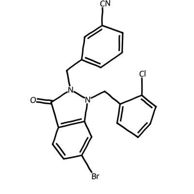 N#Cc1cccc(Cn2c(=O)c3ccc(Br)cc3n2Cc2ccccc2Cl)c1